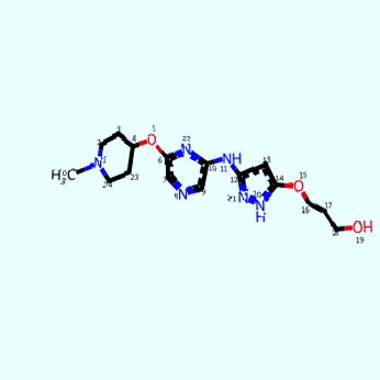 CN1CCC(Oc2cncc(Nc3cc(OCCCO)[nH]n3)n2)CC1